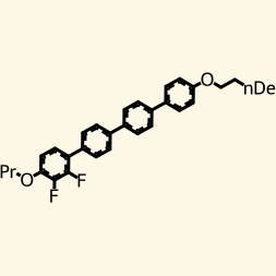 CCCCCCCCCCCCOc1ccc(-c2ccc(-c3ccc(-c4ccc(OCCC)c(F)c4F)cc3)cc2)cc1